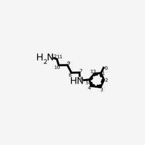 Cc1cccc(NCCCCCN)c1